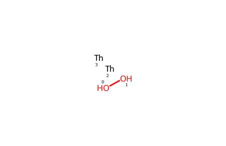 OO.[Th].[Th]